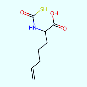 C=CCCCC(NC(=O)S)C(=O)O